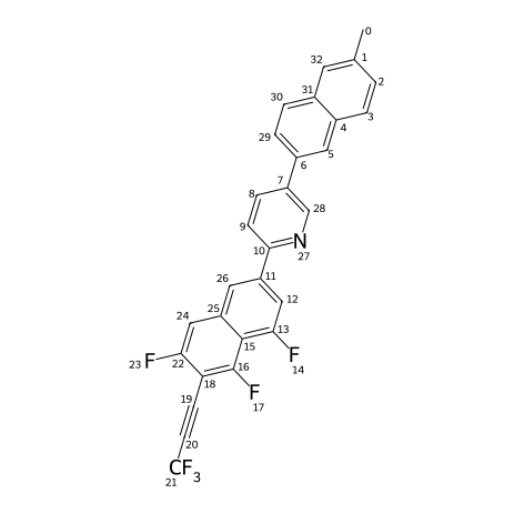 Cc1ccc2cc(-c3ccc(-c4cc(F)c5c(F)c(C#CC(F)(F)F)c(F)cc5c4)nc3)ccc2c1